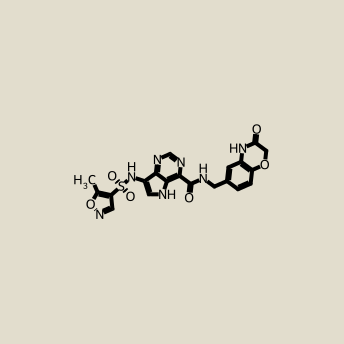 Cc1oncc1S(=O)(=O)Nc1c[nH]c2c(C(=O)NCc3ccc4c(c3)NC(=O)CO4)ncnc12